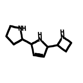 C1=CC(C2CCN2)NC1C1CCCN1